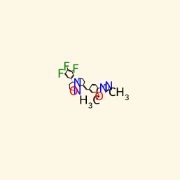 COc1cc(/C=C2\CCCN3C2=NOCC[C@@H]3c2cc(F)c(F)c(F)c2)ccc1-n1cnc(C)c1